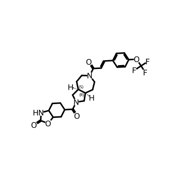 O=C1NC2CCC(C(=O)N3C[C@H]4CCN(C(=O)C=Cc5ccc(OC(F)(F)F)cc5)CC[C@H]4C3)CC2O1